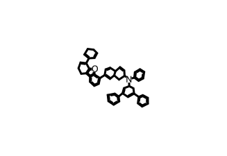 C1=CC(C2=CCCc3c2oc2c(C4=CC5CC(N(c6ccccc6)C6C=C(c7ccccc7)C=C(c7ccccc7)C6)C=CC5C=C4)cccc32)=CCC1